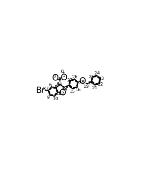 COC(=O)[C@@H]1c2cc(Br)ccc2O[C@@H]1c1ccc(OCc2ccccc2)cc1